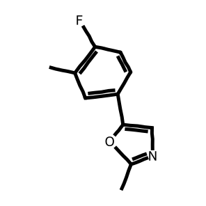 Cc1ncc(-c2ccc(F)c(C)c2)o1